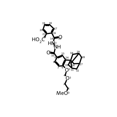 COCCOCOc1ccc(C(=O)NNC(=O)c2ccccc2C(=O)O)cc1C12CC3CC(CC(C3)C1)C2